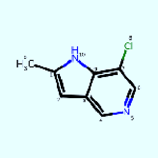 Cc1cc2cncc(Cl)c2[nH]1